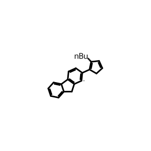 CCCCC1=C(c2[c]c3c(cc2)-c2ccccc2C3)CC=C1